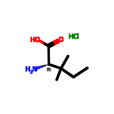 CCC(C)(C)[C@H](N)C(=O)O.Cl